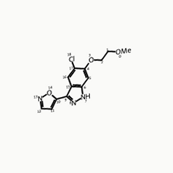 COCCOc1cc2[nH]nc(-c3ccno3)c2cc1Cl